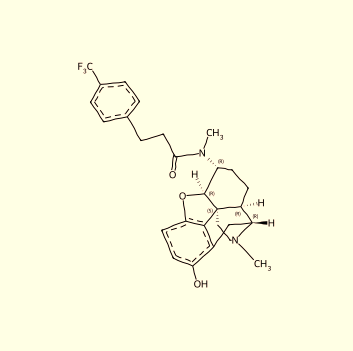 CN1CC[C@@]23c4c5ccc(O)c4C[C@@H]1[C@@H]2CC[C@@H](N(C)C(=O)CCc1ccc(C(F)(F)F)cc1)[C@@H]3O5